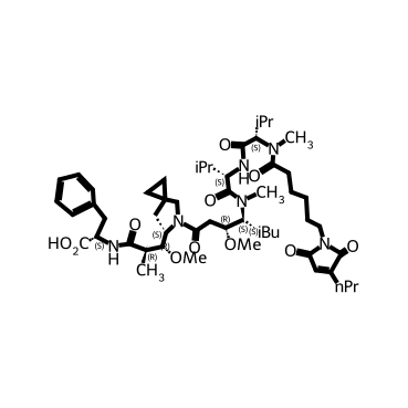 CCCC1=CC(=O)N(CCCCCC(=O)N(C)[C@H](C(=O)N[C@H](C(=O)N(C)[C@@H]([C@@H](C)CC)[C@@H](CC(=O)N2CC3(CC3)C[C@H]2[C@H](OC)[C@@H](C)C(=O)N[C@@H](Cc2ccccc2)C(=O)O)OC)C(C)C)C(C)C)C1=O